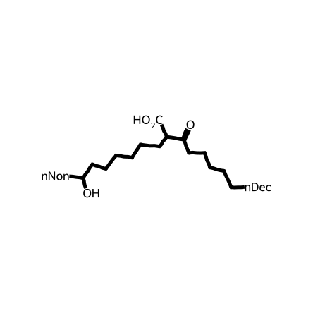 CCCCCCCCCCCCCCCC(=O)C(CCCCCCC(O)CCCCCCCCC)C(=O)O